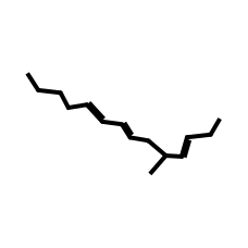 CCC=CC(C)CC=CC=CCCCC